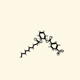 CCCCCCCCCC(=O)Oc1ccccc1OC(=O)c1ccc([N+](=O)[O-])cc1